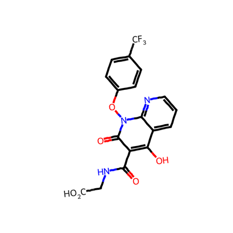 O=C(O)CNC(=O)c1c(O)c2cccnc2n(Oc2ccc(C(F)(F)F)cc2)c1=O